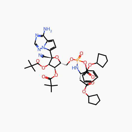 CC(C)(C)C(=O)O[C@H]1[C@@H](OC(=O)C(C)(C)C)[C@](C#N)(c2ccc3c(N)ncnn23)O[C@@H]1CO[P@@](=O)(N[C@@H](CC(=O)OC1CCCC1)C(=O)OC1CCCC1)Oc1ccccc1